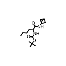 CCCCC(NC(=O)OC(C)(C)C)C(=O)NC12CC(C1)C2